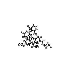 Cc1cc(-c2c(C)cccc2C)cc([C@H](CC(=O)O)NC(=O)[C@H](CC(C)C)n2nc(CCN3CC(C)C3)cc(C)c2=O)c1F